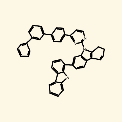 C1=Cc2c(n(-c3nccc(-c4ccc(-c5cccc(-c6ccccc6)c5)cc4)n3)c3cc(-c4cccc5c4sc4ccccc45)ccc23)CC1